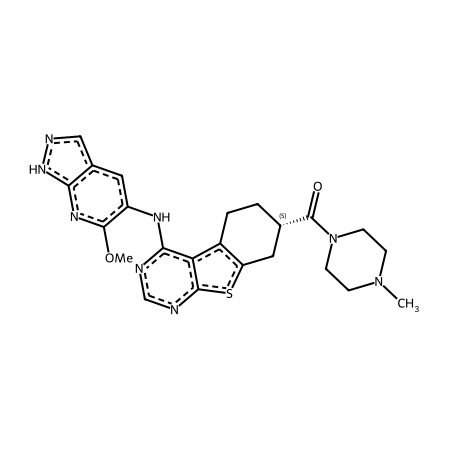 COc1nc2[nH]ncc2cc1Nc1ncnc2sc3c(c12)CC[C@H](C(=O)N1CCN(C)CC1)C3